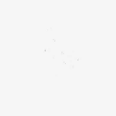 CCCC1(C)C(=O)N(CC(=O)Nc2c(C(C)C)cccc2C(C)C)C(=O)N1c1ccc(C)cc1